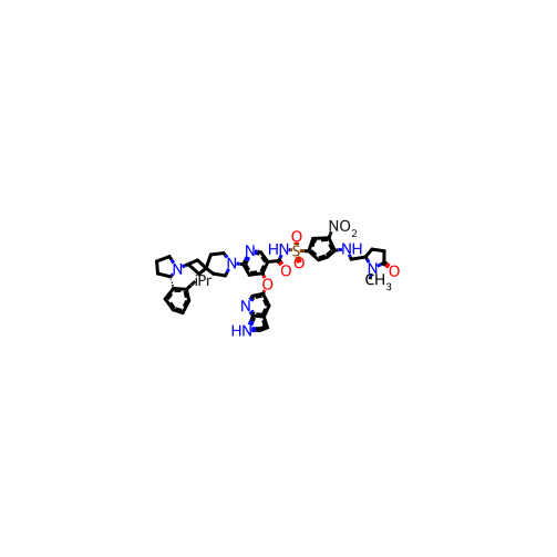 CC(C)c1ccccc1[C@@H]1CCCN1C1CC2(CCN(c3cc(Oc4cnc5[nH]ccc5c4)c(C(=O)NS(=O)(=O)c4ccc(NCC5CCC(=O)N5C)c([N+](=O)[O-])c4)cn3)CC2)C1